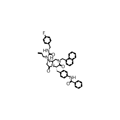 C=CCN(C(=O)NCc1ccc(F)cc1)N1CC(=O)N2[C@@H](Cc3ccc(NC(=O)c4ccccc4)cc3)C(=O)N(Cc3cccc4ccccc34)C[C@@H]21